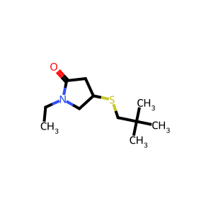 CCN1CC(SCC(C)(C)C)CC1=O